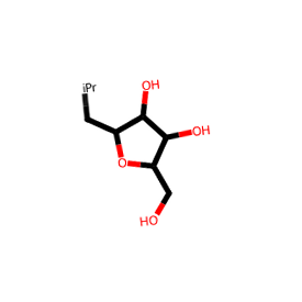 CC(C)CC1OC(CO)C(O)C1O